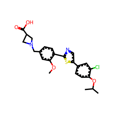 COc1cc(CN2CC(C(=O)O)C2)ccc1-c1ncc(-c2ccc(OC(C)C)c(Cl)c2)s1